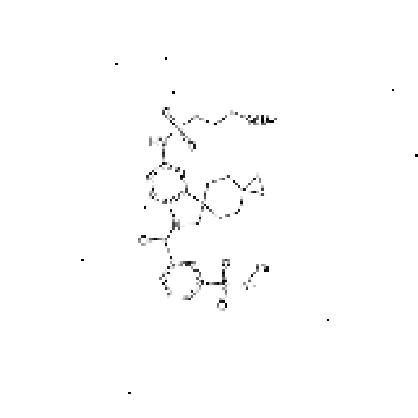 CC(=O)NCCCS(=O)(=O)Nc1ccc2c(c1)C1(CCC3(CC3)CC1)CN2C(=O)c1cccc(S(=O)(=O)NC(C)(C)C)c1